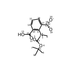 CN(C(=O)OC(C)(C)C)c1c(C(=O)O)cccc1[N+](=O)[O-]